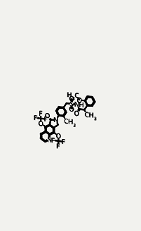 COc1ccccc1C(C)C(=O)NS(=O)(=O)Cc1ccc(N2Cc3c(c(OC(F)(F)F)c4cccnc4c3OC(F)(F)F)C2=O)c(C)c1